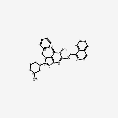 Cn1c(NCc2nccc3ccccc23)nc2nc(N3CCCC(N)C3)n(Cc3ccccc3)c2c1=O